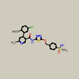 COc1ccc(Cl)cc1-c1cc(C)ncc1C(=O)Nc1nnc(OCc2ccc([S@](C)(=N)=O)cc2)s1